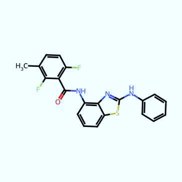 Cc1ccc(F)c(C(=O)Nc2cccc3sc(Nc4ccccc4)nc23)c1F